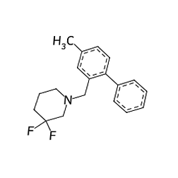 Cc1ccc(-c2ccccc2)c(CN2CCCC(F)(F)C2)c1